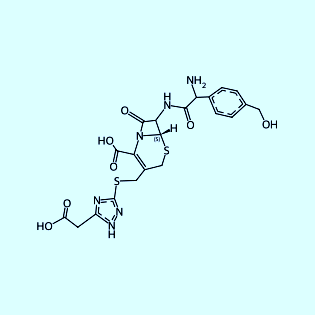 NC(C(=O)NC1C(=O)N2C(C(=O)O)=C(CSc3n[nH]c(CC(=O)O)n3)CS[C@@H]12)c1ccc(CO)cc1